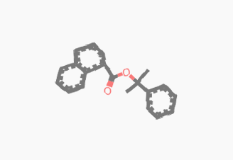 CC(C)(OC(=O)c1cccc2ccccc12)c1ccccc1